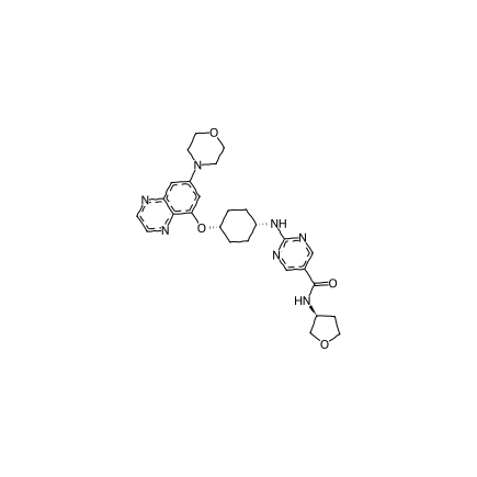 O=C(N[C@H]1CCOC1)c1cnc(N[C@H]2CC[C@@H](Oc3cc(N4CCOCC4)cc4nccnc34)CC2)nc1